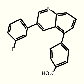 O=C(O)c1ccc(-c2cccc3ncc(-c4cccc(F)c4)cc23)cc1